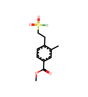 COC(=O)c1ccc(CCS(=O)(=O)Cl)c(C)c1